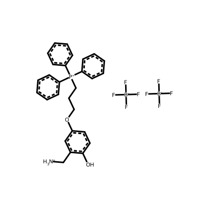 F[B-](F)(F)F.F[B-](F)(F)F.[NH3+]Cc1cc(OCCC[P+](c2ccccc2)(c2ccccc2)c2ccccc2)ccc1O